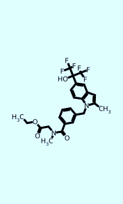 CCOC(=O)CN(C)C(=O)c1cccc(Cn2c(C)cc3cc(C(O)(C(F)(F)F)C(F)(F)F)ccc32)c1